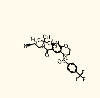 CC(C)(C)N(CCC#N)C(=O)c1cnc2c(c1)N([S+]([O-])c1ccc(C(F)(F)F)cc1)CCO2